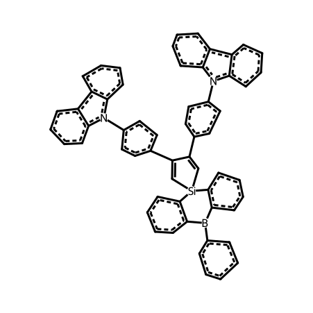 C1=C(c2ccc(-n3c4ccccc4c4ccccc43)cc2)C(c2ccc(-n3c4ccccc4c4ccccc43)cc2)=C[Si]12c1ccccc1B(c1ccccc1)c1ccccc12